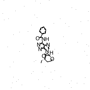 CC[C@@]12CCO[C@@H](C1C)[C@H](n1cnc3c(NC(=O)c4ccccc4)ncnc31)O2